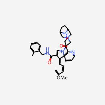 C=C(/C=C\C=C1/CN(CCCN2C3CCC2CN(CC(=O)c2ccccn2)C3)C=C1C(=O)NCc1ccccc1C)OC